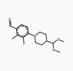 COC(OC)C1CCN(c2ccc(C=O)c(C)c2F)CC1